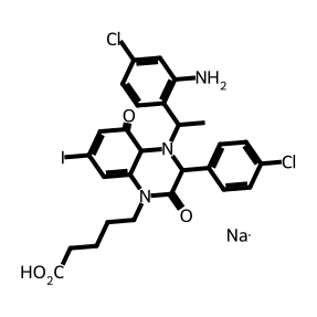 CC(c1ccc(Cl)cc1N)N1C2C(=O)C=C(I)C=C2N(CCCCC(=O)O)C(=O)C1c1ccc(Cl)cc1.[Na]